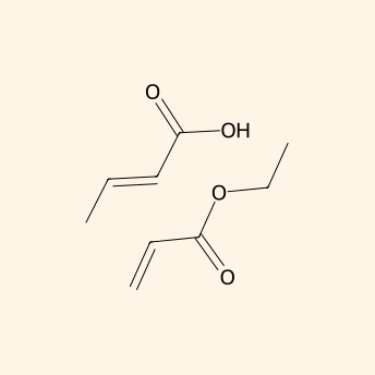 C=CC(=O)OCC.CC=CC(=O)O